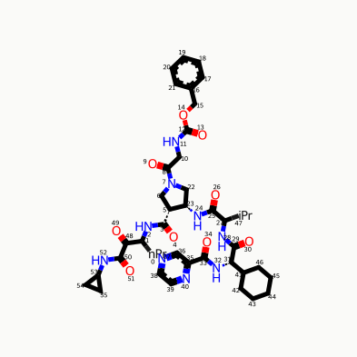 CCCC(NC(=O)[C@@H]1CN(C(=O)CNC(=O)OCc2ccccc2)C[C@@H]1NC(=O)C(NC(=O)[C@@H](NC(=O)c1cnccn1)C1CCCCC1)C(C)C)C(=O)C(=O)NC1CC1